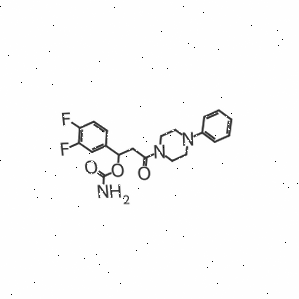 NC(=O)OC(CC(=O)N1CCN(c2ccccc2)CC1)c1ccc(F)c(F)c1